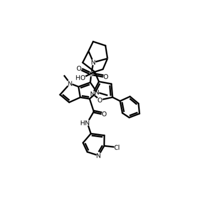 Cn1c(C(=O)Nc2ccnc(Cl)c2)c2ccn(C)c2c1S(=O)(=O)N1C2CCC1CC(O)(c1cc(-c3ccccc3)on1)C2